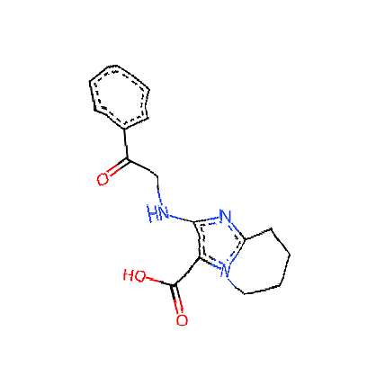 O=C(CNc1nc2n(c1C(=O)O)CCCC2)c1ccccc1